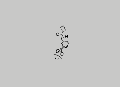 CC1(C)OB(c2cccc(CNC(=O)C3CCC3)c2)OC1(C)C